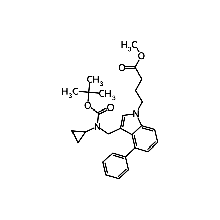 COC(=O)CCCn1cc(CN(C(=O)OC(C)(C)C)C2CC2)c2c(-c3ccccc3)cccc21